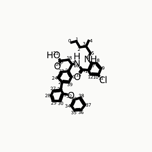 CCCC(C)CNc1ccc(Cl)cc1C(=O)NC(CC(=O)O)c1ccc(-c2ccccc2Oc2ccccc2)cc1